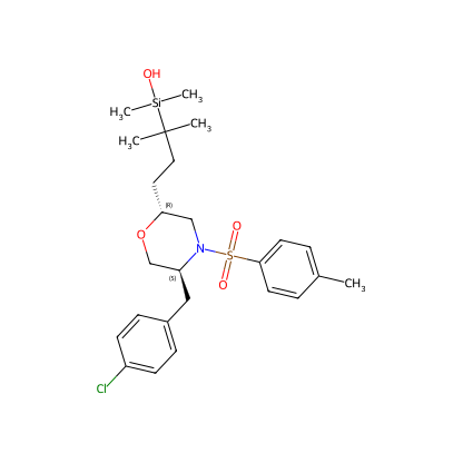 Cc1ccc(S(=O)(=O)N2C[C@@H](CCC(C)(C)[Si](C)(C)O)OC[C@@H]2Cc2ccc(Cl)cc2)cc1